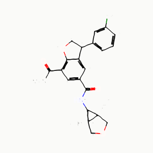 CNC(=O)c1cc(C(=O)NC2[C@H]3COC[C@@H]23)cc2c1OCC2c1cccc(F)c1